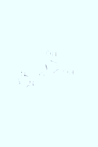 Oc1[c]c(OCc2ncccn2)cc(O)c1